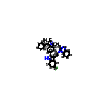 CN(C)C1(Cc2ccccc2)CC=C(c2[nH]c3ccc(F)cc3c2CCn2cnc3ccccc32)CC1